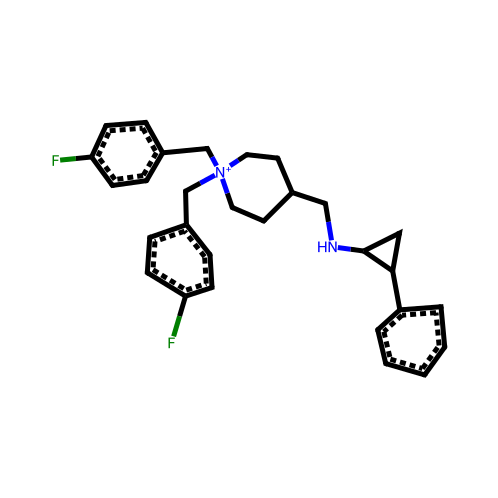 Fc1ccc(C[N+]2(Cc3ccc(F)cc3)CCC(CNC3CC3c3ccccc3)CC2)cc1